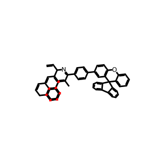 C=CC(/N=C(\C(C)=C(/C)c1ccccc1)c1ccc(-c2ccc3c(c2)C2(c4ccccc4O3)c3ccccc3-c3ccccc32)cc1)c1cc2c3c(cccc3c1)CC=C2